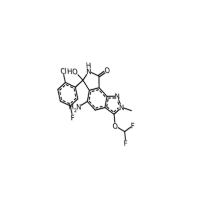 Cn1nc2c3c(c(N)cc2c1OC(F)F)C(O)(c1cc(F)ccc1Cl)NC3=O